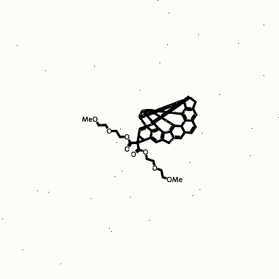 COCCOCCOC(=O)C1(C(=O)OCCOCCOC)C2c3cc4c5c6c7c8c9c%10c(cc%11c9c9c(cc(c%12c9c8c5c3-%12)C21)C%11)C=CC(C=C6C4)C%107